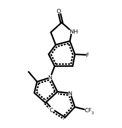 Cc1cc2ccc(C(F)(F)F)nc2n1-c1cc(F)c2c(c1)CC(=O)N2